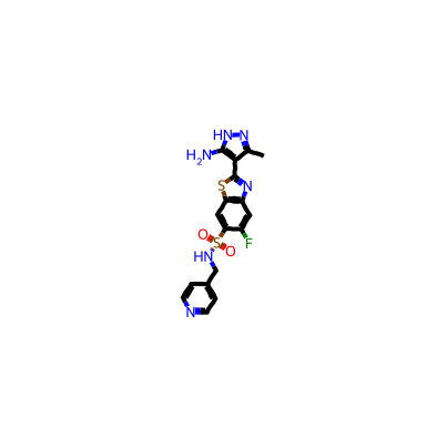 Cc1n[nH]c(N)c1-c1nc2cc(F)c(S(=O)(=O)NCc3ccncc3)cc2s1